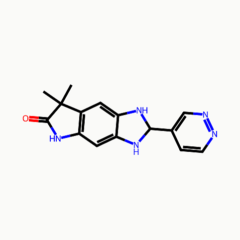 CC1(C)C(=O)Nc2cc3c(cc21)NC(c1ccnnc1)N3